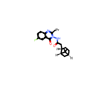 CC(C)c1nc2ccc(F)cc2c(=O)n1NC(=O)C[C@@H]1CC[C@H]2C[C@H]1C2(C)C